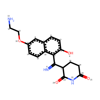 N=C(c1c(O)ccc2cc(OCCN)ccc12)C1CCC(=O)NC1=O